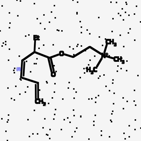 C=C/C=C\C(CC)C(=O)OCC[N+](C)(C)C